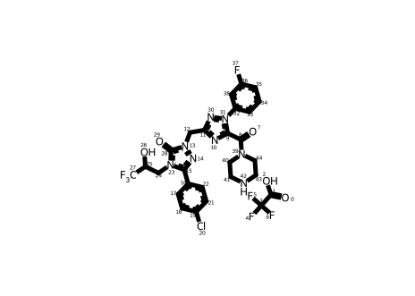 O=C(O)C(F)(F)F.O=C(c1nc(Cn2nc(-c3ccc(Cl)cc3)n(CC(O)C(F)(F)F)c2=O)nn1-c1cccc(F)c1)N1CCNCC1